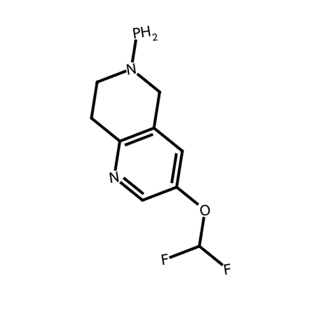 FC(F)Oc1cnc2c(c1)CN(P)CC2